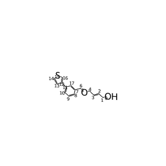 OCC=CCOCc1cccc(-c2ccsc2)c1